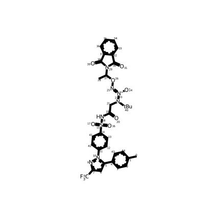 Cc1ccc(-c2cc(C(F)(F)F)nn2-c2ccc(S(=O)(=O)NC(=O)CN([N+]([O-])=NOC(C)N3C(=O)c4ccccc4C3=O)C(C)(C)C)cc2)cc1